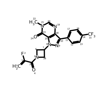 C=C(F)C(=O)N1CC(n2nc(-c3ccc(C(F)(F)F)cc3)c3ncn(C)c(=O)c32)C1